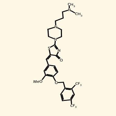 COc1cc(C=C2SC(N3CCN(CCCN(C)C)CC3)=NC2=O)ccc1OCc1ccc(C(F)(F)F)cc1C(F)(F)F